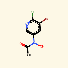 CC(=O)N(O)c1cnc(Cl)c(Br)c1